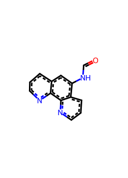 O=CNc1cc2cccnc2c2ncccc12